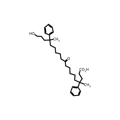 CC(CCCO)(CCCCCC(=O)CCCCCC(C)(CCC(=O)O)c1ccccc1)c1ccccc1